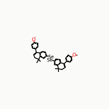 COc1ccc(C2=CCC(C)(C)c3cc([Se][Se]c4ccc5c(c4)C(C)(C)CC=C5c4ccc(OC)cc4)ccc32)cc1